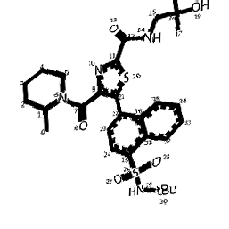 CC1CCCCN1C(=O)c1nc(C(=O)NCC(C)(C)O)sc1-c1ccc(S(=O)(=O)NC(C)(C)C)c2ccccc12